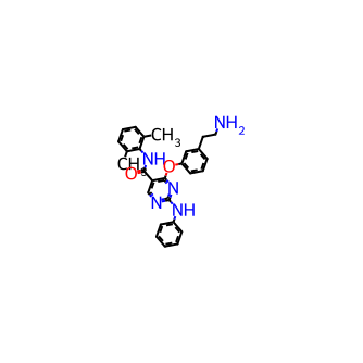 Cc1cccc(C)c1NC(=O)c1cnc(Nc2ccccc2)nc1Oc1cccc(CCN)c1